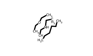 CCCCCC.CCNCC.CCOCC